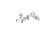 CN(CCC(=O)OC(c1cc2ccccc2s1)C1CCCCC1)C(=O)c1ccc(NC(c2cc3ccccc3s2)C2CCCCC2)cc1